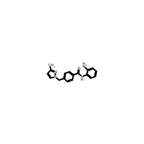 Cc1ccn(Cc2ccc(C(=O)Nc3ccccc3N)cc2)n1